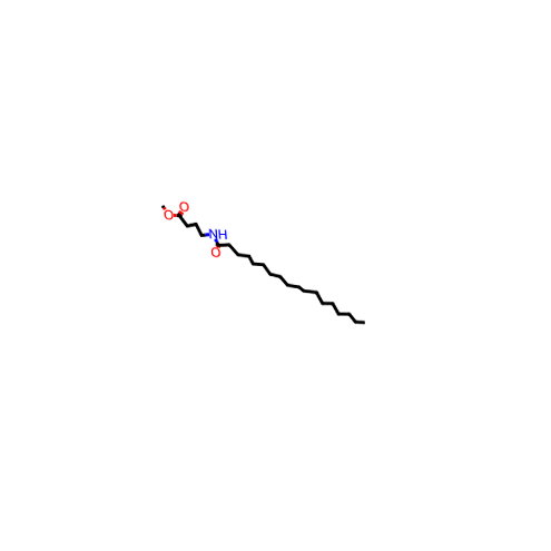 CCCCCCCCCCCCCCCCCC(=O)NCCCC(=O)OC